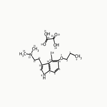 CCCOc1ccc2[nH]cc(CCN(C)C)c2c1I.O=C(O)C(=O)O